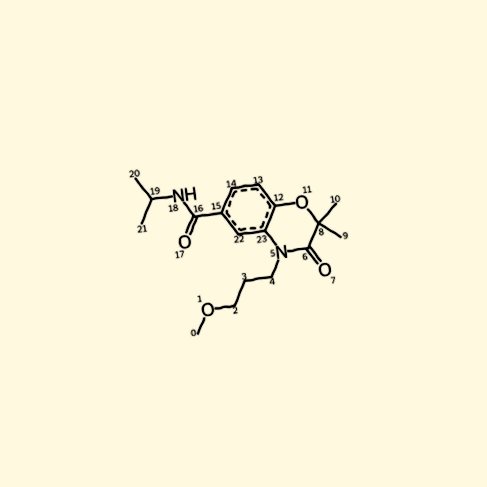 COCCCN1C(=O)C(C)(C)Oc2ccc(C(=O)NC(C)C)cc21